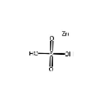 O=S(=O)(O)O.[Zn]